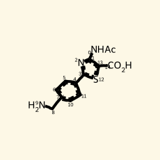 CC(=O)Nc1nc(-c2ccc(CN)cc2)sc1C(=O)O